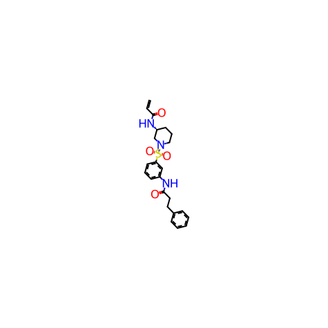 C=CC(=O)N[C@H]1CCCN(S(=O)(=O)c2cccc(NC(=O)CCc3ccccc3)c2)C1